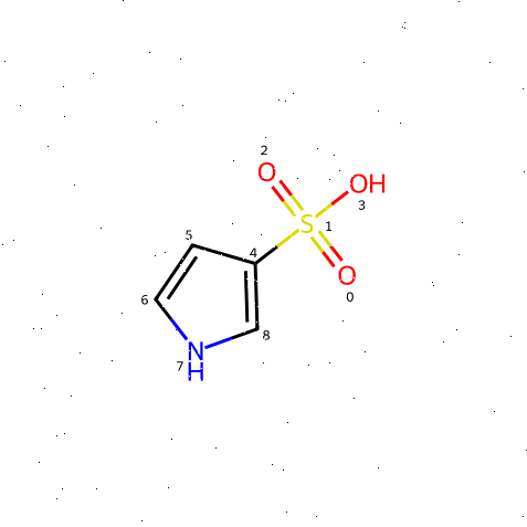 O=S(=O)(O)c1cc[nH]c1